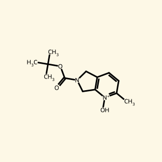 Cc1ccc2c([n+]1O)CN(C(=O)OC(C)(C)C)C2